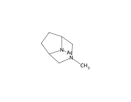 CC(=O)N1C2CCC1CN(C)C2